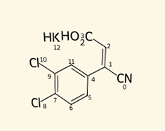 N#C/C(=C/C(=O)O)c1ccc(Cl)c(Cl)c1.[KH]